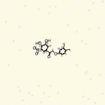 Cc1ccc(OCC(=O)c2cc(O)c(O)c([N+](=O)[O-])c2)cc1C